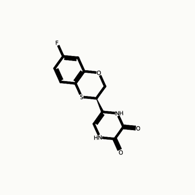 O=c1[nH]cc([C@@H]2COc3cc(F)ccc3S2)[nH]c1=O